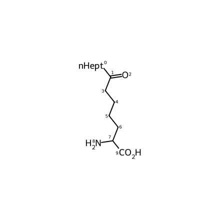 CCCCCCCC(=O)CCCCC(N)C(=O)O